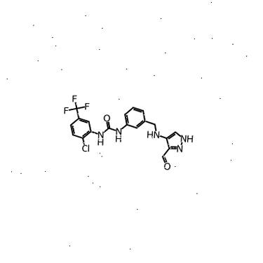 O=Cc1n[nH]cc1NCc1cccc(NC(=O)Nc2cc(C(F)(F)F)ccc2Cl)c1